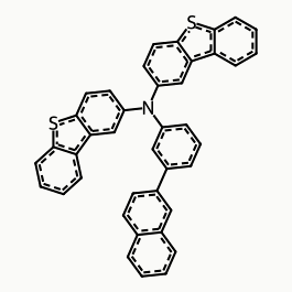 c1cc(-c2ccc3ccccc3c2)cc(N(c2ccc3sc4ccccc4c3c2)c2ccc3sc4ccccc4c3c2)c1